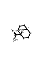 O=C(O)C12CCCC(CCC1)N2